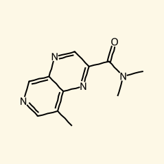 Cc1cncc2ncc(C(=O)N(C)C)nc12